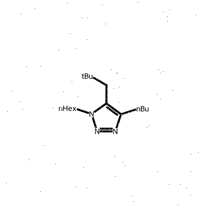 CCCCCCn1nnc(CCCC)c1CC(C)(C)C